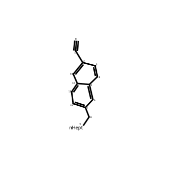 C#Cc1ccc2cc(CCCCCCCC)ccc2c1